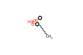 CCCCCCCCc1ccc(S(=O)(=O)O)c(Oc2ccccc2)c1